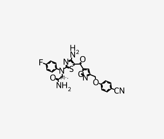 C[C@H](C(N)=O)N(c1ccc(F)cc1)c1nc(N)c(C(=O)c2cc(COc3ccc(C#N)cc3)no2)s1